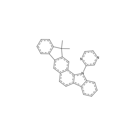 CC1(C)c2ccccc2-c2cc3ccc4c5ccccc5n(-c5cnccn5)c4c3cc21